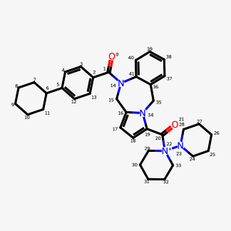 O=C(c1ccc(C2CCCCC2)cc1)N1Cc2ccc(C(=O)[N+]3(N4CCCCC4)CCCCC3)n2Cc2ccccc21